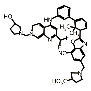 CC1(C)C(c2cccc(Nc3cc(C(F)F)nc4c3=CCN(CN3CCC(O)C3)C=4)c2)=CC=CC1c1nc2cc(CN3CCC(C(=O)O)C3)cc(C#N)c2o1